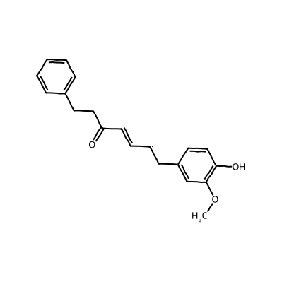 COc1cc(C[CH]C=CC(=O)CCc2ccccc2)ccc1O